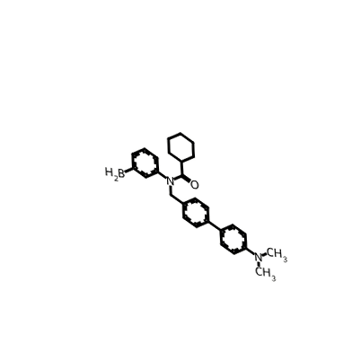 Bc1cccc(N(Cc2ccc(-c3ccc(N(C)C)cc3)cc2)C(=O)C2CCCCC2)c1